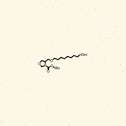 CCCCCCCCCCCCCCCCCCOCC1COCN1C(=O)OC(C)(C)C